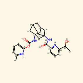 Cc1cccc(OC(=O)NC23CC4CC(C2)CC(NC(=O)c2cccc(C(C)O)n2)(C4)C3)n1